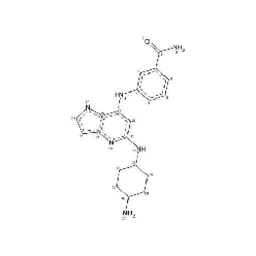 NC(=O)c1cccc(Nc2cc(NC3CCC(N)CC3)nn3ccnc23)c1